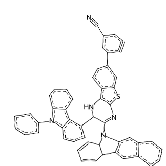 N#Cc1cc#cc(-c2ccc3c4c(sc3c2)N=C(N2c3cc5ccccc5cc3C3C=CC=CC32)C(c2cccc3c2c2ccccc2n3-c2ccccc2)N4)c1